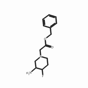 NC1CN(CC(=O)OCc2ccccc2)CCC1F